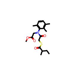 CCC(C)C(=O)SCC(=O)N(CC(=O)OC)c1c(C)ccc(C)c1C